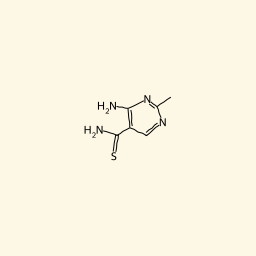 Cc1ncc(C(N)=S)c(N)n1